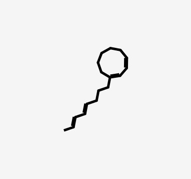 CC=CC=CCCCC1=CC=CCCCCC1